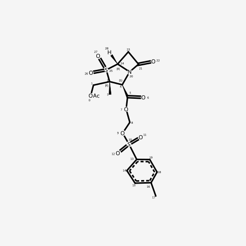 CC(=O)OC[C@@]1(C)[C@H](C(=O)OCOS(=O)(=O)c2ccc(C)cc2)N2C(=O)C[C@H]2S1(=O)=O